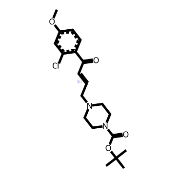 COc1ccc(C(=O)/C=C/CN2CCN(C(=O)OC(C)(C)C)CC2)c(Cl)c1